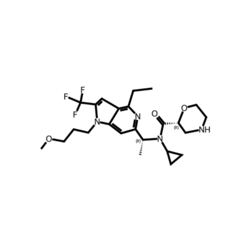 CCc1nc([C@@H](C)N(C(=O)[C@H]2CNCCO2)C2CC2)cc2c1cc(C(F)(F)F)n2CCCOC